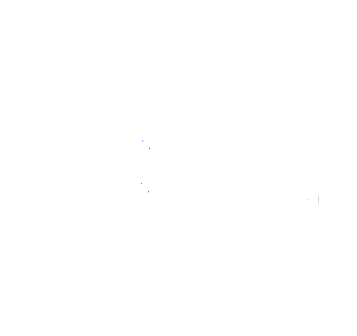 Cc1ccc2c(c1)sc1c(-c3cc(-c4ccccc4)nc(-c4ccc(Br)cc4)n3)cccc12